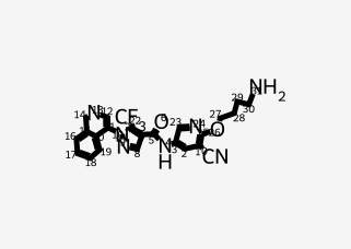 N#Cc1cc(NC(=O)c2cnn(-c3cncc4ccccc34)c2C(F)(F)F)cnc1OCCCCN